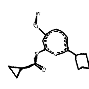 CC(C)Oc1ccc(C2CCC2)nc1OC(=O)C1CC1